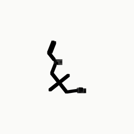 C=CNCC(C)(C)CC(C)(C)C